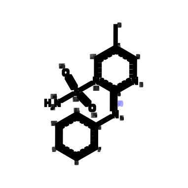 Cc1cn/c(=N/c2ccccc2)n(S(N)(=O)=O)c1